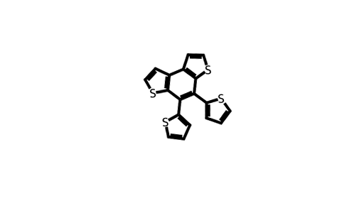 c1csc(-c2c(-c3cccs3)c3sccc3c3ccsc23)c1